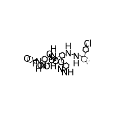 CC1(C)CCC(CNCCNc2ccc(C(=O)NS(=O)(=O)c3ccc(NCC4(F)CCOCC4)c([N+](C)([O-])O)c3)c(Oc3cccc4[nH]cnc34)c2)=C(c2ccc(Cl)cc2)C1